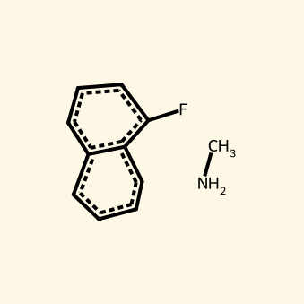 CN.Fc1cccc2ccccc12